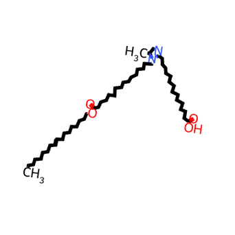 CCCCCCCCC=CCCCCCCCCOC(=O)CCCCCCCCCCCCCCCN1C(CCCCCCCCCCCCCCC(=O)O)=NCC1C